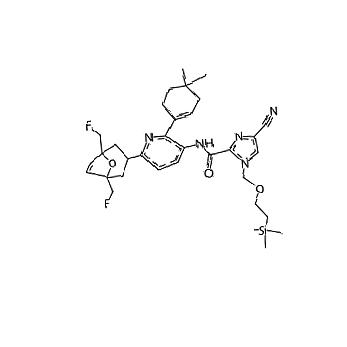 CC1(C)CC=C(c2nc(C3CC4(CF)C=CC(CF)(C3)O4)ccc2NC(=O)c2nc(C#N)cn2COCC[Si](C)(C)C)CC1